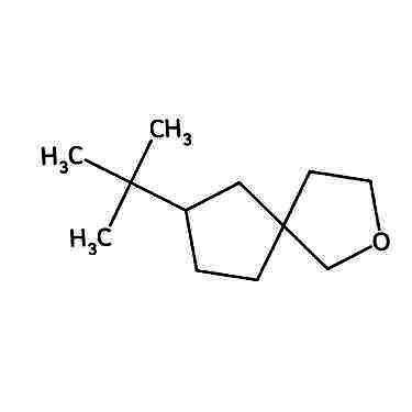 CC(C)(C)C1CCC2(CCOC2)C1